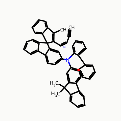 C#C/C=C\C1=C(C)c2ccccc2C12c1ccccc1-c1ccc(N(c3ccc4c(c3)C(C)(C)c3ccccc3-4)c3ccccc3-c3ccccc3)cc12